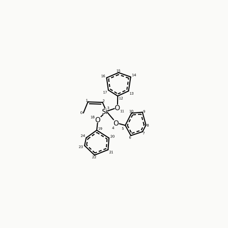 C/C=C\[Si](Oc1ccccc1)(Oc1ccccc1)Oc1ccccc1